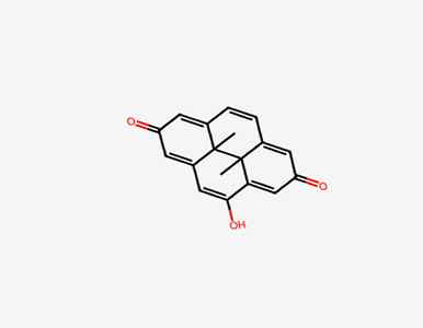 CC12C3=CC(=O)C=C1C=C(O)C1=CC(=O)C=C(C=C3)C12C